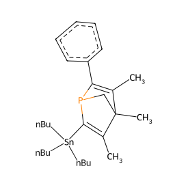 CCC[CH2][Sn]([CH2]CCC)([CH2]CCC)[C]1=C(C)C2(C)CP1C(c1ccccc1)=C2C